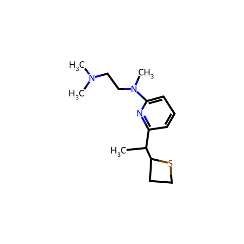 CC(c1cccc(N(C)CCN(C)C)n1)C1CCS1